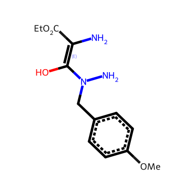 CCOC(=O)/C(N)=C(\O)N(N)Cc1ccc(OC)cc1